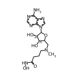 CN(CCCC(=O)NO)CC1OC(n2cnc3c(N)ncnc32)[C@H](O)[C@@H]1O